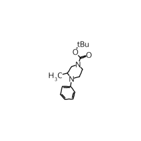 CC1CN(C(=O)OC(C)(C)C)CCN1c1ccccc1